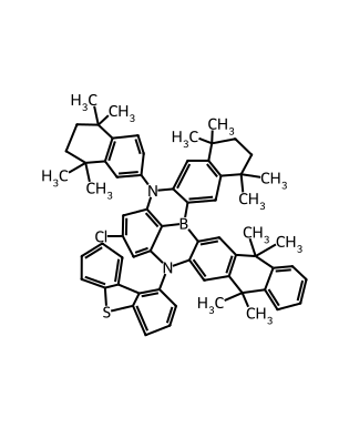 CC1(C)CCC(C)(C)c2cc(N3c4cc5c(cc4B4c6cc7c(cc6N(c6cccc8sc9ccccc9c68)c6cc(Cl)cc3c64)C(C)(C)c3ccccc3C7(C)C)C(C)(C)CCC5(C)C)ccc21